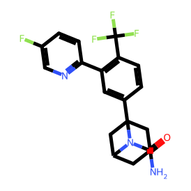 NC(=O)N1C2CCCC1(c1ccc(C(F)(F)F)c(-c3ccc(F)cn3)c1)C2